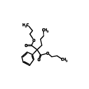 CCCCC(C(=O)OCCC)(C(=O)OCCC)c1ccccc1